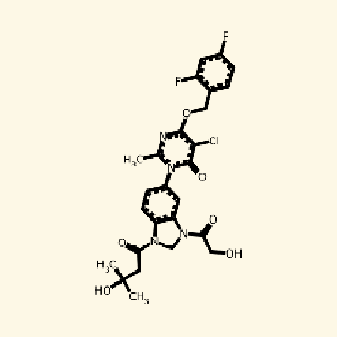 Cc1nc(OCc2ccc(F)cc2F)c(Cl)c(=O)n1-c1ccc2c(c1)N(C(=O)CO)CN2C(=O)CC(C)(C)O